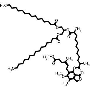 CCCCCCCCCCCCCCCC(=O)OCC(COC(=O)CCCCCCCCCCCCCCC)OC(=O)C(C)CCCCCCCCC(C)C(=O)Oc1c(CC=C(C)CCC(=O)OC)c(OC)c(C)c2c1C(=O)OC2